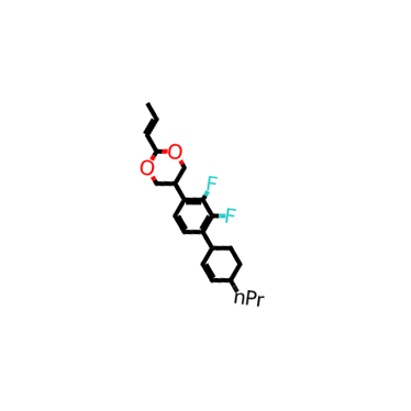 C/C=C/C1OCC(c2ccc(C3C=CC(CCC)CC3)c(F)c2F)CO1